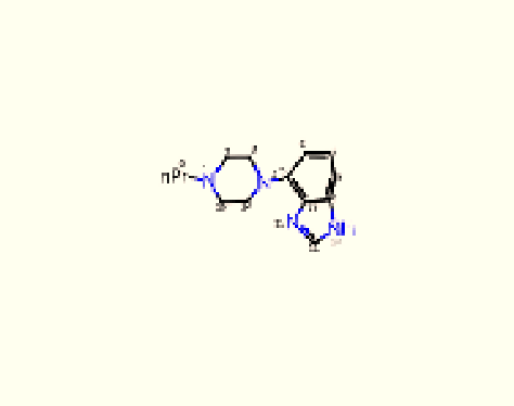 CCCN1CCN(c2cccc3[nH]cnc23)CC1